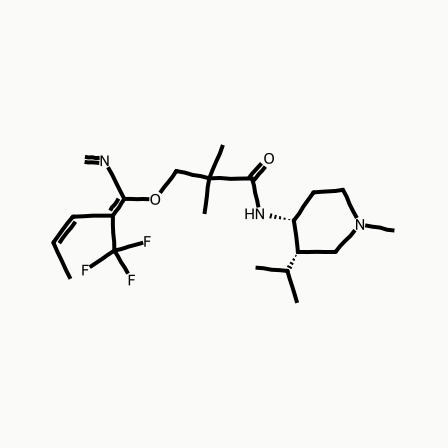 C=N/C(OCC(C)(C)C(=O)N[C@@H]1CCN(C)C[C@@H]1C(C)C)=C(\C=C/C)C(F)(F)F